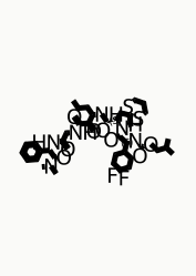 CCCC(NC(=O)[C@@H]1CC2(CN1C(=O)[C@@H](NC(=O)OCC(C)C)C1CCC(F)(F)CC1)SCCCS2)C(=O)C(=O)NCC(=O)NC(C(=O)N(C)C)c1ccccc1